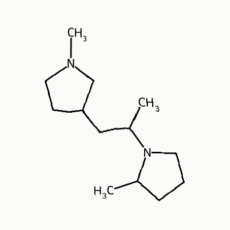 CC1CCCN1C(C)CC1CCN(C)C1